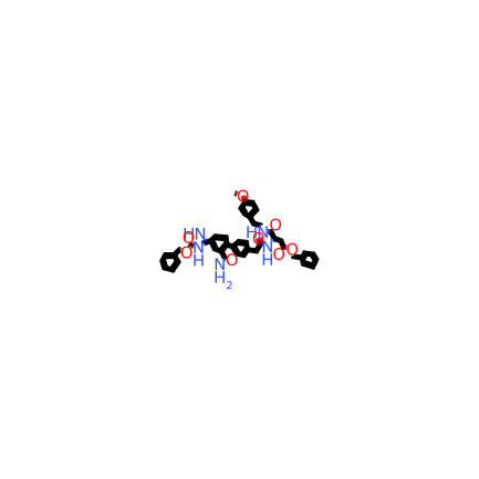 COc1ccc(CCNC(=O)C(CC(=O)OCc2ccccc2)NC(=O)Cc2ccc(-c3ccc(C(=N)NC(=O)OCc4ccccc4)cc3C(N)=O)cc2)cc1